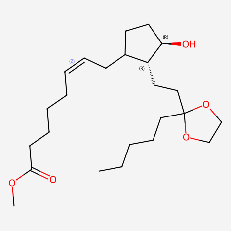 CCCCCC1(CC[C@@H]2C(C/C=C\CCCCC(=O)OC)CC[C@H]2O)OCCO1